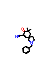 CC1(C)CC2(C=C(C#N)C1=O)CCN(Cc1ccccc1)C2